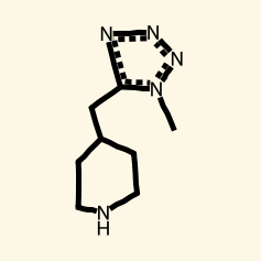 Cn1nnnc1CC1CCNCC1